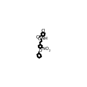 O=C(C=Cc1ccc(OCc2ccccc2)c([N+](=O)[O-])c1)Nc1ccc(Cl)cc1Cl